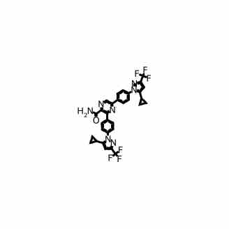 NC(=O)c1ncc(-c2ccc(-n3nc(C(F)(F)F)cc3C3CC3)cc2)nc1-c1ccc(-n2nc(C(F)(F)F)cc2C2CC2)cc1